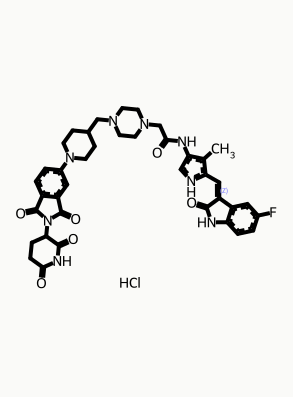 Cc1c(NC(=O)CN2CCN(CC3CCN(c4ccc5c(c4)C(=O)N(C4CCC(=O)NC4=O)C5=O)CC3)CC2)c[nH]c1/C=C1\C(=O)Nc2ccc(F)cc21.Cl